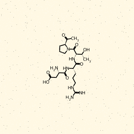 CC(=O)[C@@H]1CCCN1C(=O)[C@@H](NC(=O)[C@H](CCCNC(=N)N)NC(=O)[C@@H](N)CC(=O)O)[C@@H](C)O